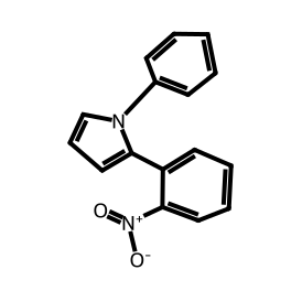 O=[N+]([O-])c1ccccc1-c1cccn1-c1ccccc1